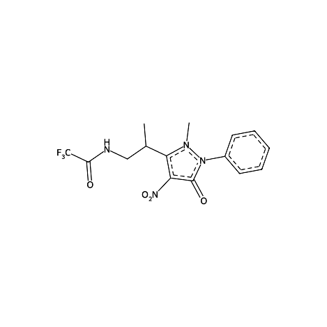 CC(CNC(=O)C(F)(F)F)c1c([N+](=O)[O-])c(=O)n(-c2ccccc2)n1C